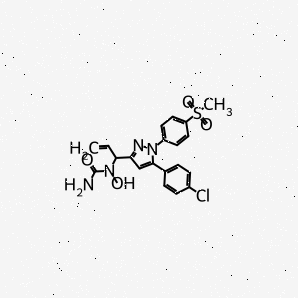 C=CC(c1cc(-c2ccc(Cl)cc2)n(-c2ccc(S(C)(=O)=O)cc2)n1)N(O)C(N)=O